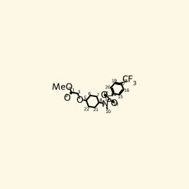 COC(=O)COC1CCC(N(C)S(=O)(=O)c2ccc(C(F)(F)F)cc2)CC1